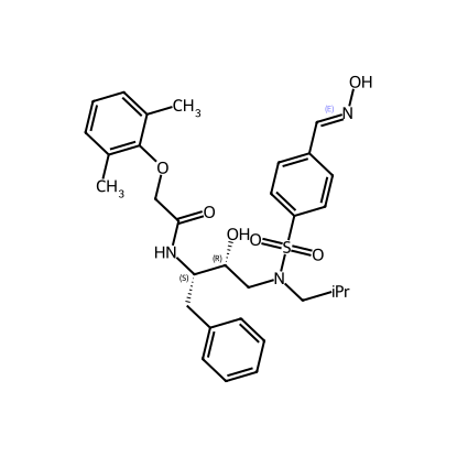 Cc1cccc(C)c1OCC(=O)N[C@@H](Cc1ccccc1)[C@H](O)CN(CC(C)C)S(=O)(=O)c1ccc(/C=N/O)cc1